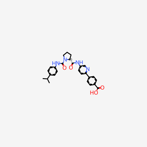 CC(C)c1ccc(NC(=O)N2CCC[C@@H]2C(=O)Nc2ccc(-c3ccc(C(=O)O)cc3)nc2)cc1